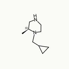 C[C@H]1CNCCN1CC1CC1